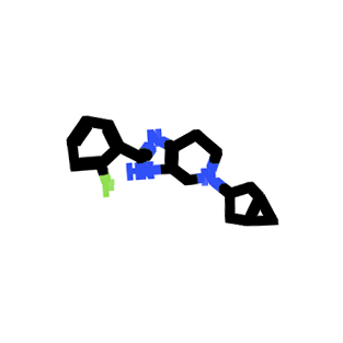 Fc1ccccc1-c1nc2c([nH]1)CN(C1CC3CC3C1)CC2